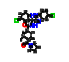 Cc1cc(C(=O)NC(c2cccc(Cl)c2)c2nc3cc(Cl)ccc3[nH]2)ccc1C(=O)N1CCCC1